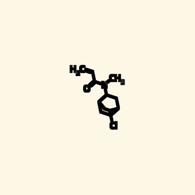 C=CC(=O)N(C)C1CC2CCC1CC2Cl